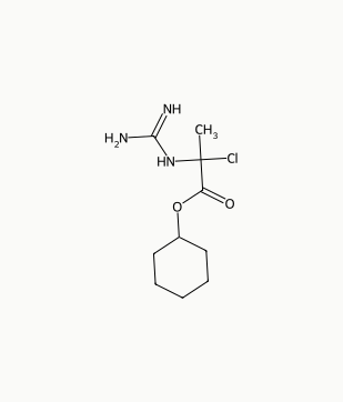 CC(Cl)(NC(=N)N)C(=O)OC1CCCCC1